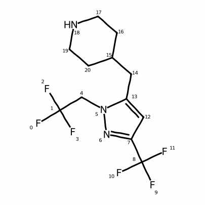 FC(F)(F)Cn1nc(C(F)(F)F)cc1CC1CCNCC1